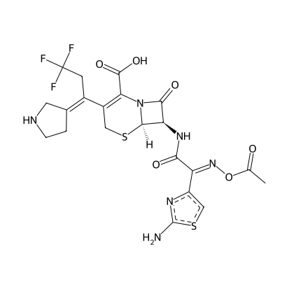 CC(=O)ON=C(C(=O)N[C@@H]1C(=O)N2C(C(=O)O)=C(C(CC(F)(F)F)=C3CCNC3)CS[C@H]12)c1csc(N)n1